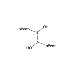 CCCCCN(O)N(O)CCCCC